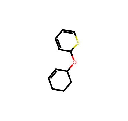 C1=CSC(OC2C=CCCC2)C=C1